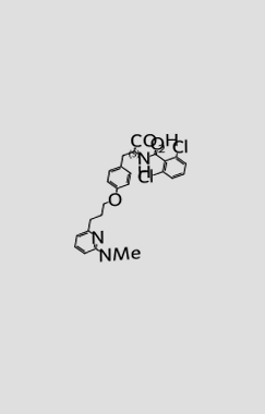 CNc1cccc(CCCOc2ccc(C[C@H](NC(=O)c3c(Cl)cccc3Cl)C(=O)O)cc2)n1